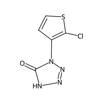 O=c1[nH]nnn1-c1ccsc1Cl